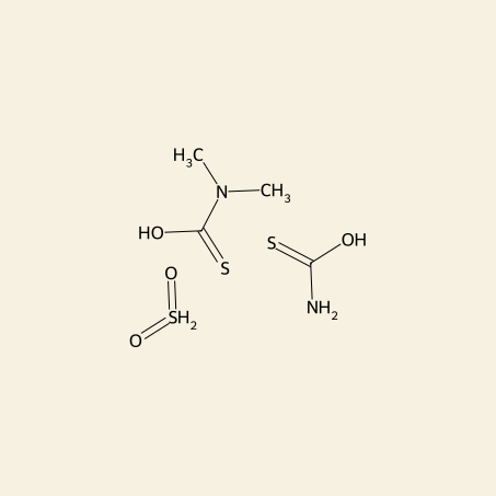 CN(C)C(O)=S.NC(O)=S.O=[SH2]=O